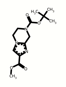 COC(=O)c1cn2c(n1)CN(C(=O)OC(C)(C)C)CC2